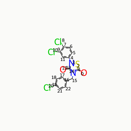 O=c1sn(-c2ccc(Cl)c(Cl)c2)c(=O)n1Cc1ccc(Cl)cc1